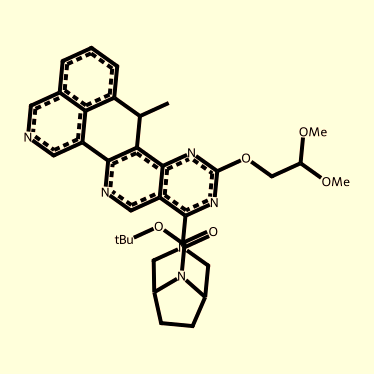 COC(COc1nc(N2CC3CCC(C2)N3C(=O)OC(C)(C)C)c2cnc3c(c2n1)C(C)c1cccc2cncc-3c12)OC